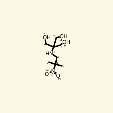 CC(C)(CNC(CO)(CO)CO)[N+](=O)[O-]